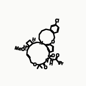 CO[C@H]1/C=C/COC(C)(C)C(=O)N=[S@](=O)(NC(=O)C(C)C)c2ccc3c(c2)N(CCCCc2cc(Cl)ccc2CO3)C[C@@H]2CC[C@H]21